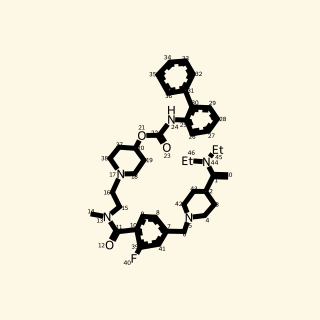 C=C(C1CCN(Cc2ccc(C(=O)N(C)CCN3CCC(OC(=O)Nc4ccccc4-c4ccccc4)CC3)c(F)c2)CC1)N(CC)CC